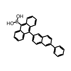 OB(O)c1c2ccccc2c(-c2ccc3cc(-c4ccccc4)ccc3c2)c2ccccc12